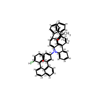 CC1(C)c2ccccc2-c2ccc(N(c3cccc(-c4cccc5cccc(-c6ccccc6F)c45)c3)c3ccccc3-c3ccc(-c4ccccc4)cc3)cc21